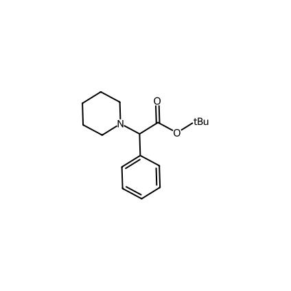 CC(C)(C)OC(=O)C(c1ccccc1)N1CCCCC1